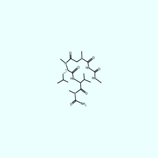 CNC(=O)NC(=O)N(C)CC(=O)N(C)[C@@H](CC(C)C)C(=O)NC(C(=O)N(C)C(N)=O)C(C)C